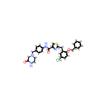 O=C1CN(Cc2ccc(NC(=O)c3csc(Cc4cc(Cl)ccc4OCc4ccccc4)n3)cc2)CCN1